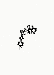 Cc1ccnc2ncn(Cc3nc(C4CC(c5ccc(F)cc5)C4)no3)c(=O)c12